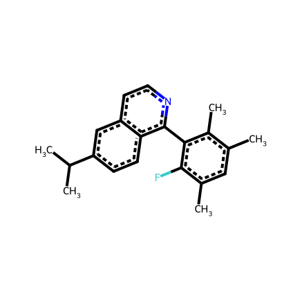 Cc1cc(C)c(F)c(-c2nccc3cc(C(C)C)ccc23)c1C